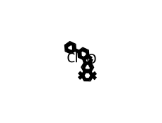 CC1(C)CCC(C)(C)c2cc3c(cc21)oc1ccc(-c2ccccc2Cl)cc13